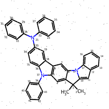 CC1(C)c2cc3c(cc2-n2c1cc1ccccc12)c1cc(N(c2ccccc2)c2ccccc2)ccc1n3-c1ccccc1